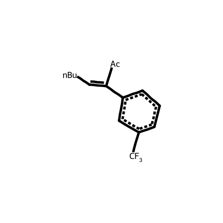 CCCCC=C(C(C)=O)c1cccc(C(F)(F)F)c1